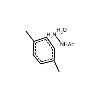 CC(=O)NN.Cc1ccc(C)cc1.O